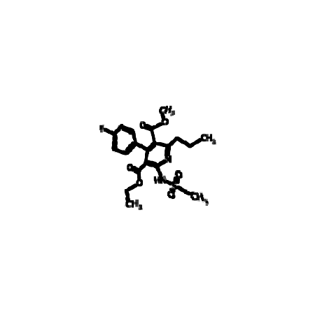 CCCc1nc(NS(C)(=O)=O)c(C(=O)OCC)c(-c2ccc(F)cc2)c1C(=O)OC